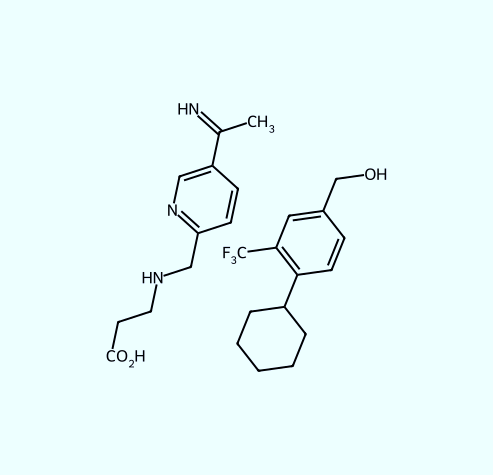 CC(=N)c1ccc(CNCCC(=O)O)nc1.OCc1ccc(C2CCCCC2)c(C(F)(F)F)c1